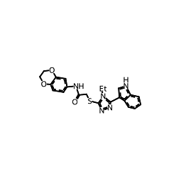 CCn1c(SCC(=O)Nc2ccc3c(c2)OCCO3)nnc1-c1c[nH]c2ccccc12